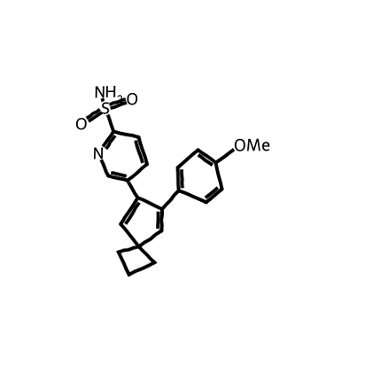 COc1ccc(C2=CC3(C=C2c2ccc(S(N)(=O)=O)nc2)CCC3)cc1